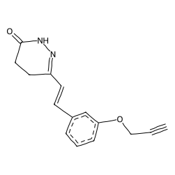 C#CCOc1cccc(C=CC2=NNC(=O)CC2)c1